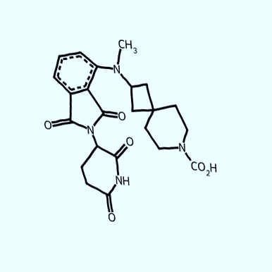 CN(c1cccc2c1C(=O)N(C1CCC(=O)NC1=O)C2=O)C1CC2(CCN(C(=O)O)CC2)C1